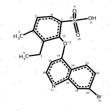 CCc1c(C)ccc(S(=O)(=O)O)c1Oc1ccnc2cc(Br)ccc12